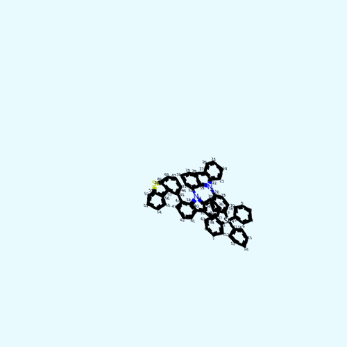 c1ccc([Si](c2ccccc2)(c2ccccc2)c2ccc(-n3c4ccccc4c4cccc(-n5c6ccccc6c6cccc(-c7cccc8sc9ccccc9c78)c65)c43)cc2)cc1